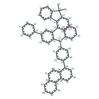 CC1(C)c2ccccc2-c2c(-c3cc(-c4ccccc4)ccc3N(c3ccccc3)c3ccc(-c4cccc5c4ccc4ccccc45)cc3)cccc21